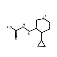 O=C(O)NNC1CNCCC1C1CC1